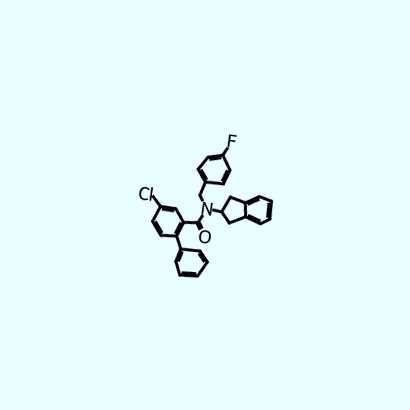 O=C(c1cc(Cl)ccc1-c1ccccc1)N(Cc1ccc(F)cc1)C1Cc2ccccc2C1